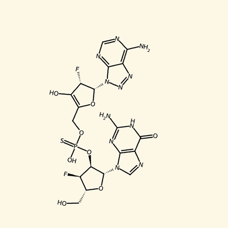 Nc1nc2c(ncn2[C@@H]2O[C@H](CO)[C@@H](F)[C@H]2OP(O)(=S)OCC2=C(O)[C@H](F)[C@H](n3nnc4c(N)ncnc43)O2)c(=O)[nH]1